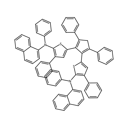 c1ccc(C2=C(c3cc(-c4ccccc4)c(N(c4ccccc4)c4cccc5ccccc45)s3)C(c3cc(-c4ccccc4)c(N(c4ccccc4)c4cccc5ccccc45)s3)=C(c3ccccc3)C2)cc1